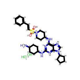 Cl.Cl.NC1CCC(Nc2nc(NC3CCN(S(=O)(=O)/C=C/c4ccccc4)CC3)c3ncn(C4CCCC4)c3n2)CC1